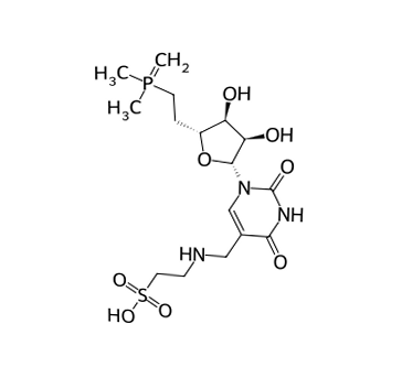 C=P(C)(C)CC[C@H]1O[C@@H](n2cc(CNCCS(=O)(=O)O)c(=O)[nH]c2=O)[C@H](O)[C@@H]1O